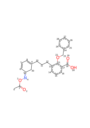 CC(=O)ON=C1C=CC=C(CCCc2cccc(C(=O)O)c2OCc2ccccc2)C1